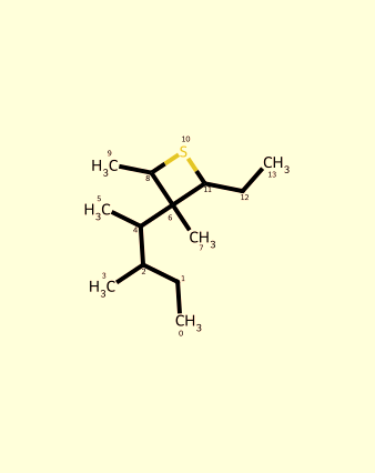 CCC(C)C(C)C1(C)C(C)SC1CC